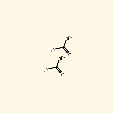 CCCC(N)=O.CCCC(N)=O